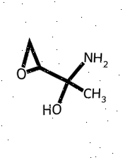 CC(N)(O)C1CO1